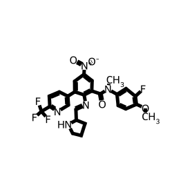 COc1ccc(N(C)C(=O)c2cc([N+](=O)[O-])cc(-c3ccc(C(F)(F)F)nc3)c2/N=C/C2CCCN2)cc1F